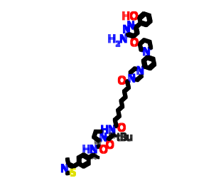 Cc1ncsc1-c1ccc([C@H](C)NC(=O)[C@@H]2CCCN2C(=O)[C@@H](NC(=O)CCCCCCCCC(=O)N2CCN(c3cccc(N4CCCC(Oc5cc(-c6ccccc6O)nnc5N)C4)c3)CC2)C(C)(C)C)cc1